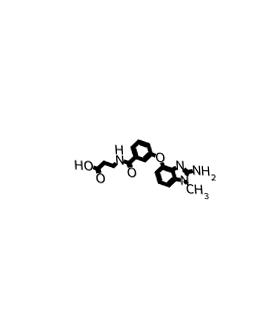 Cn1c(N)nc2c(Oc3cccc(C(=O)NCCC(=O)O)c3)cccc21